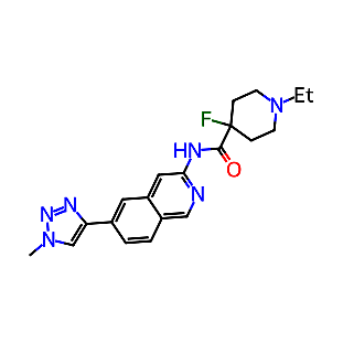 CCN1CCC(F)(C(=O)Nc2cc3cc(-c4cn(C)nn4)ccc3cn2)CC1